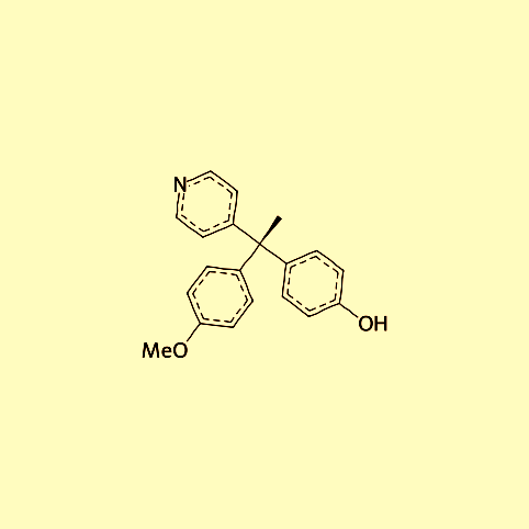 COc1ccc([C@](C)(c2ccncc2)c2ccc(O)cc2)cc1